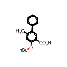 CCCCOc1cc(C)c(-c2ccccc2)cc1C(=O)O